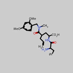 C=CCC(CC(NC(=O)C(N)CC(C)C)C(=O)O)C(=O)N(C)Cc1ccc(OC)cc1OC